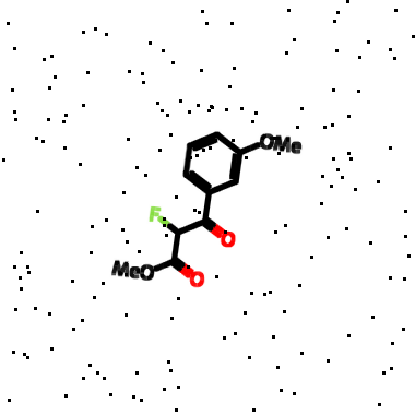 COC(=O)C(F)C(=O)c1cccc(OC)c1